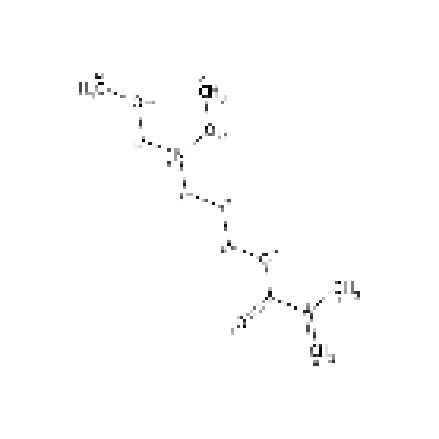 C=C(C)C(=O)OCCCN(COC)OC